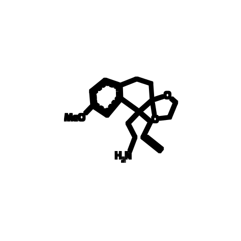 C=CCC1(CCN)c2cc(OC)ccc2CCC12OCCO2